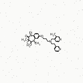 CCN1C(=O)C(C)(C)C(=O)N(C)c2cc(OCCCN(CCc3cccnc3)Cc3ccncc3C)ccc21